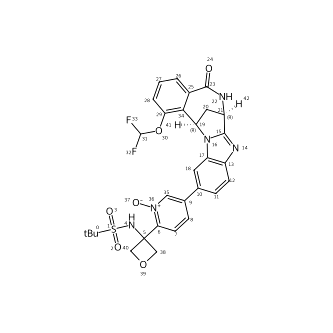 CC(C)(C)S(=O)(=O)NC1(c2ccc(-c3ccc4nc5n(c4c3)[C@@H]3C[C@H]5NC(=O)c4cccc(OC(F)F)c43)c[n+]2[O-])COC1